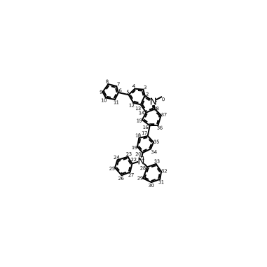 Cn1c2ccc(-c3ccccc3)cc2c2cc(-c3ccc(N(c4ccccc4)c4ccccc4)cc3)ccc21